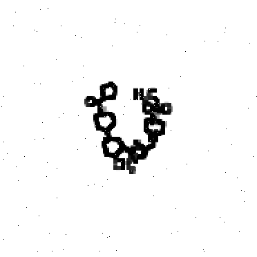 CCS(=O)(=O)N1CCN(Cc2cnc(C3C[C](C4CCN(C(=O)C5CCCC5)CC4)CCC3C)s2)CC1